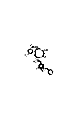 C/C(=C\c1cc(F)c2nnn(CC3CCOCC3)c2c1)[C@H]1OC(=O)C[C@H](O)CC[C@H](C)[C@@H](C2CN(C)CCN2C(=O)O)/C=C/[C@@H]1C